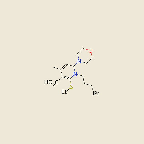 CCSC1=C(C(=O)O)C(C)=CC(N2CCOCC2)N1CCCC(C)C